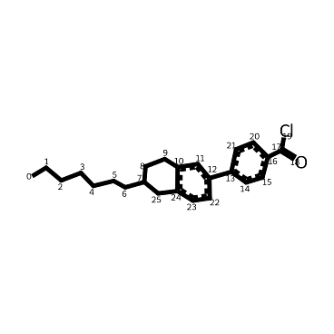 CCCCCCCC1CCc2cc(-c3ccc(C(=O)Cl)cc3)ccc2C1